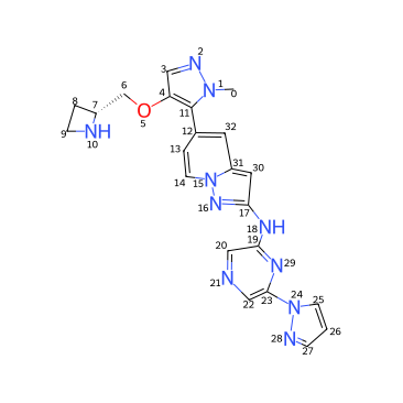 Cn1ncc(OC[C@H]2CCN2)c1-c1ccn2nc(Nc3cncc(-n4cccn4)n3)cc2c1